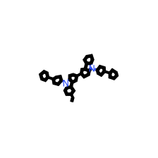 C=Cc1ccc2c(c1)c1cc(-c3ccc4c(c3)c3ccccc3n4-c3ccc(-c4ccccc4)cc3)ccc1n2-c1ccc(-c2ccccc2)cc1